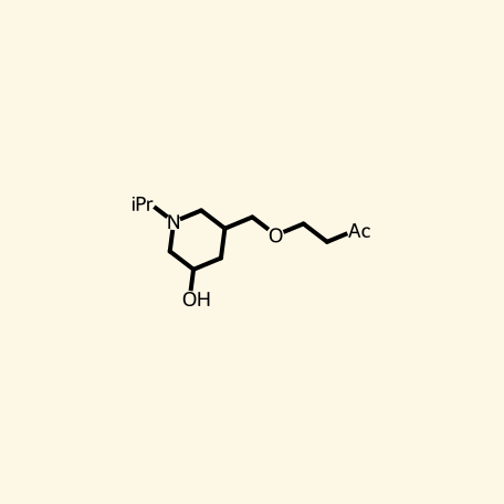 CC(=O)CCOCC1CC(O)CN(C(C)C)C1